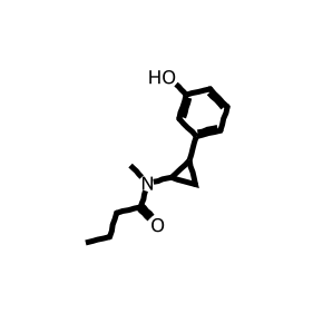 CCCC(=O)N(C)C1CC1c1cccc(O)c1